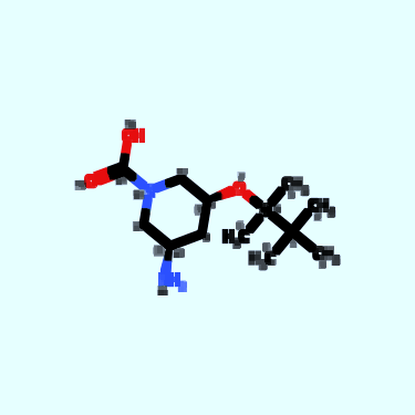 CC(C)(C)[Si](C)(C)O[C@H]1C[C@@H](N)CN(C(=O)O)C1